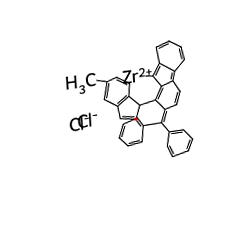 Cc1ccc2c(c1)C=CC2c1c2c(ccc1=C(c1ccccc1)c1ccccc1)=c1ccccc1=[C]2[Zr+2].[Cl-].[Cl-]